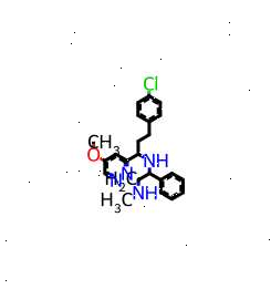 C=C(NC)C(NC(CCc1ccc(Cl)cc1)c1cc(OC)cnn1)c1ccccc1